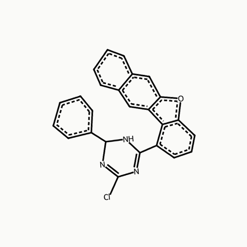 ClC1=NC(c2ccccc2)NC(c2cccc3oc4cc5ccccc5cc4c23)=N1